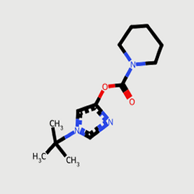 CC(C)(C)n1cnc(OC(=O)N2CCCCC2)c1